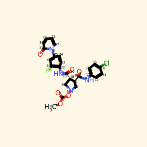 COC(=O)ON1C[C@H](C(=O)Nc2ccc(Cl)cc2)[C@@H](C(=O)Nc2ccc(-n3ccccc3=O)cc2F)C1